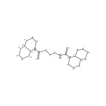 O=C(CCCNC(=O)N1CCCC2CCCCC21)N1CCCC2CCCCC21